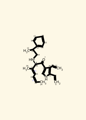 C=Cc1[nH]cc(C(=O)[C@H](NCC(C)c2ccccc2)/C(C)=C/C=C\C)c1C=C